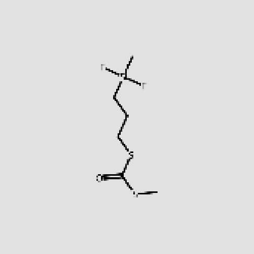 CSC(=O)SCCC[Si](C)(F)F